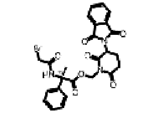 C[C@@](NC(=O)CBr)(C(=O)OCN1C(=O)CCC(N2C(=O)c3ccccc3C2=O)C1=O)c1ccccc1